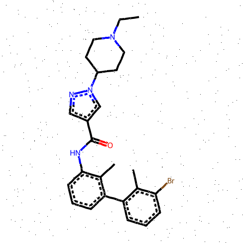 CCN1CCC(n2cc(C(=O)Nc3cccc(-c4cccc(Br)c4C)c3C)cn2)CC1